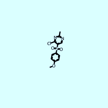 COc1ccc(S(=O)(=O)c2cnc(C)nc2Cl)cc1